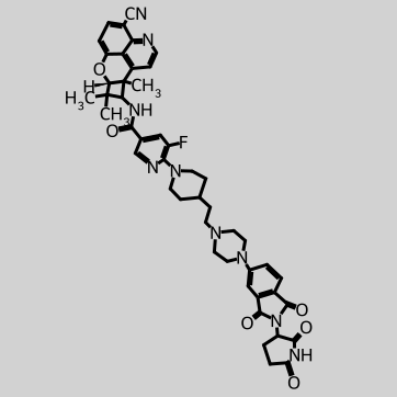 CC1(C)C(NC(=O)c2cnc(N3CCC(CCN4CCN(c5ccc6c(c5)C(=O)N(C5CCC(=O)NC5=O)C6=O)CC4)CC3)c(F)c2)C2(C)c3ccnc4c(C#N)ccc(c34)O[C@@H]12